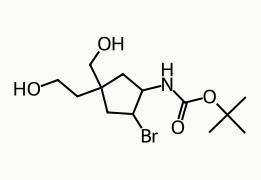 CC(C)(C)OC(=O)NC1CC(CO)(CCO)CC1Br